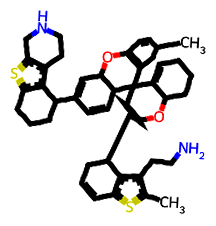 Cc1sc2c(c1CCN)C(C1=CC3OC4CCCC=C4C4(C5=C(C=CC(C)C5)OC5C=C(C6CCCc7sc8c(c76)CCNC8)C=CC54)C3CC1)CC=C2